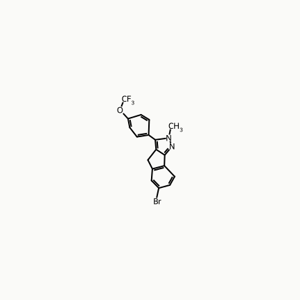 Cn1nc2c(c1-c1ccc(OC(F)(F)F)cc1)Cc1cc(Br)ccc1-2